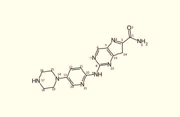 NC(=O)C1=Nc2cnc(Nc3ccc(N4CCNCC4)cn3)nc2C1